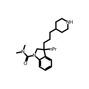 CCCC1(CCCC2CCNCC2)CN(C(=O)N(C)C)c2ccccc21